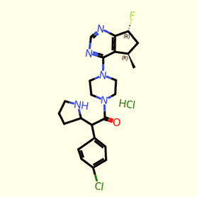 C[C@@H]1C[C@@H](F)c2ncnc(N3CCN(C(=O)C(c4ccc(Cl)cc4)C4CCCN4)CC3)c21.Cl